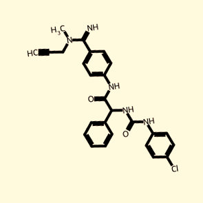 C#CCN(C)C(=N)c1ccc(NC(=O)C(NC(=O)Nc2ccc(Cl)cc2)c2ccccc2)cc1